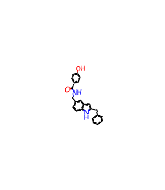 O=C(NCc1ccc2[nH]c(Cc3ccccc3)cc2c1)c1ccc(O)cc1